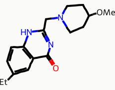 CCc1ccc2[nH]c(CN3CCC(OC)CC3)nc(=O)c2c1